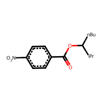 CCCCC(OC(=O)c1ccc([N+](=O)[O-])cc1)C(C)C